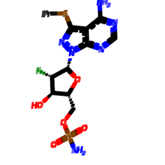 CC(C)Sc1nn([C@@H]2O[C@H](COS(N)(=O)=O)[C@@H](O)[C@@H]2F)c2ncnc(N)c12